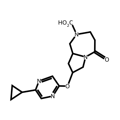 O=C(O)N1CCC(=O)N2CC(Oc3cnc(C4CC4)cn3)CC2C1